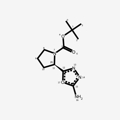 CC(C)(C)OC(=O)N1CCC[C@@H]1c1nnc(N)o1